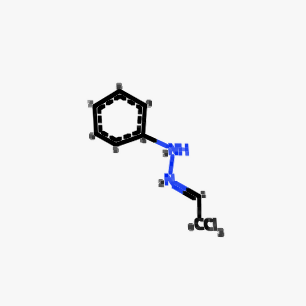 ClC(Cl)(Cl)C=NNc1ccccc1